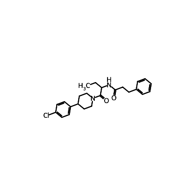 CCC(NC(=O)CCc1ccccc1)C(=O)N1CCC(c2ccc(Cl)cc2)CC1